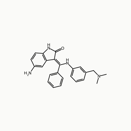 CN(C)Cc1cccc(N/C(=C2\C(=O)Nc3ccc(N)cc32)c2ccccc2)c1